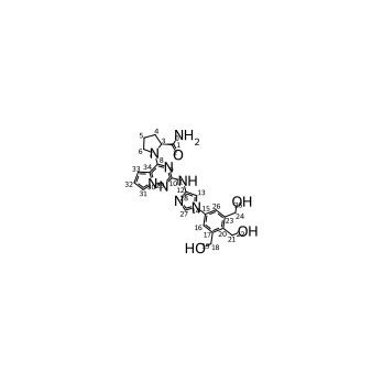 NC(=O)[C@@H]1CCCN1c1nc(Nc2cn(-c3cc(CO)c(CO)c(CO)c3)cn2)nn2cccc12